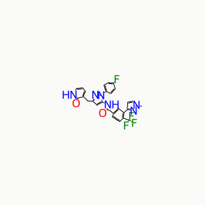 Cn1ccc(-c2cc(C(=O)Nc3cc(Cc4ccc[nH]c4=O)nn3-c3ccc(F)cc3)ccc2C(F)(F)F)n1